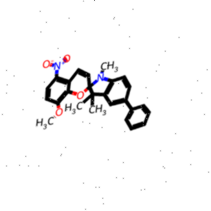 COc1ccc([N+](=O)[O-])c2c1OC1(C=C2)N(C)c2ccc(-c3ccccc3)cc2C1(C)C